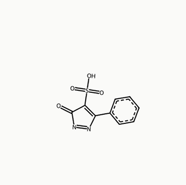 O=C1N=NC(c2ccccc2)=C1S(=O)(=O)O